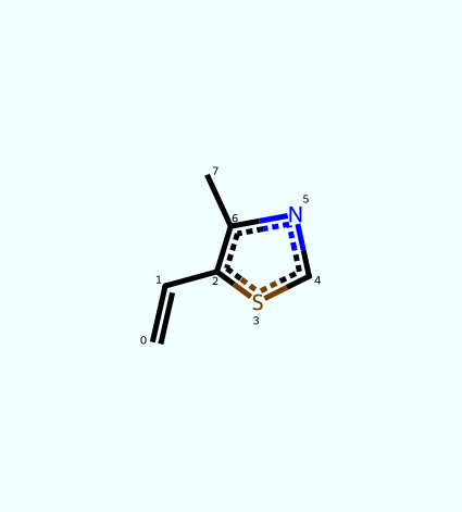 [CH]=Cc1scnc1C